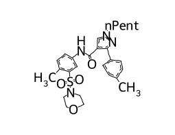 CCCCCn1cc(C(=O)Nc2ccc(C)c(S(=O)(=O)N3CCOCC3)c2)c(-c2ccc(C)cc2)n1